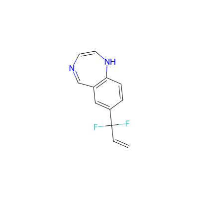 C=CC(F)(F)c1ccc2c(c1)C=NC=CN2